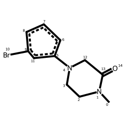 CN1CCN(c2cccc(Br)c2)CC1=O